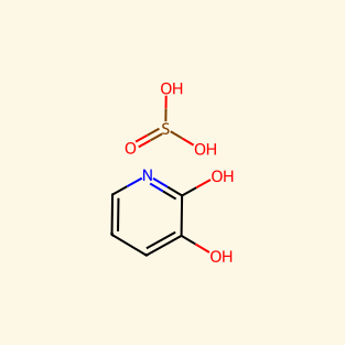 O=S(O)O.Oc1cccnc1O